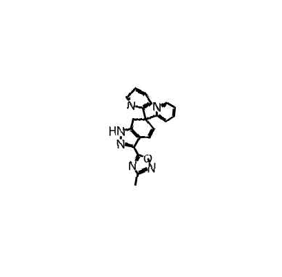 Cc1noc(-c2n[nH]c3c2C=CC(c2ccccn2)(c2ccccn2)C3)n1